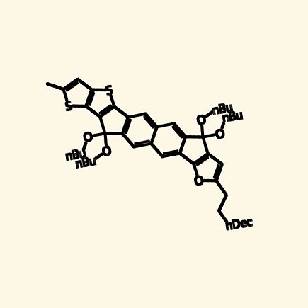 CCCCCCCCCCCCc1cc2c(o1)-c1cc3cc4c(cc3cc1C2(OCCCC)OCCCC)-c1sc2cc(C)sc2c1C4(OCCCC)OCCCC